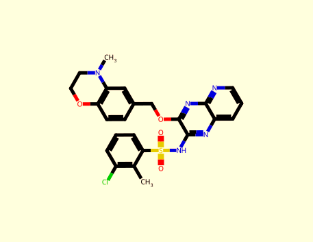 Cc1c(Cl)cccc1S(=O)(=O)Nc1nc2cccnc2nc1OCc1ccc2c(c1)N(C)CCO2